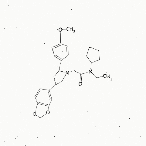 CCN(C(=O)CN1CC(c2ccc3c(c2)OCO3)CC1c1ccc(OC)cc1)C1CCCC1